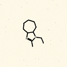 CCN1C(C)=NC2CCCCCC21